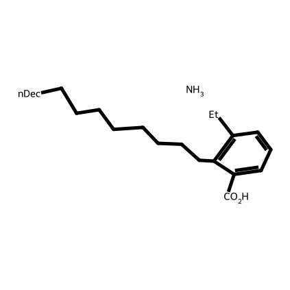 CCCCCCCCCCCCCCCCCCc1c(CC)cccc1C(=O)O.N